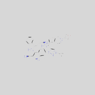 N#CCCC(Nc1c(C#N)cnc2c(Cl)cc(NC(c3cn(C4CC4)nn3)c3csc4c3CCN(C3COC3)C4)cc12)c1ccccc1